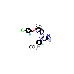 CCn1cncc1Cn1c(CN2CCc3cc(C(F)(F)F)c(OCc4ccc(Cl)cc4F)nc3C2)nc2ccc(C(=O)O)c(F)c21